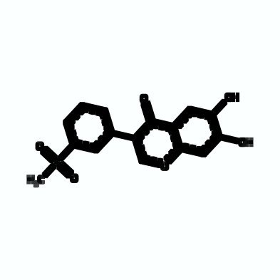 CS(=O)(=O)c1cccc(-c2coc3cc(O)c(O)cc3c2=O)c1